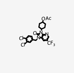 CC(=O)OC1CCC(n2c(=O)n(Cc3ccc(Cl)c(Cl)c3)c3cc(C(F)(F)F)cnc32)CC1